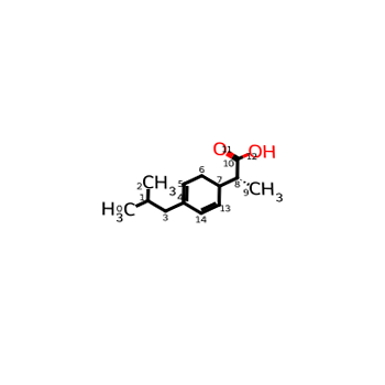 CC(C)CC1=CCC([C@@H](C)C(=O)O)C=C1